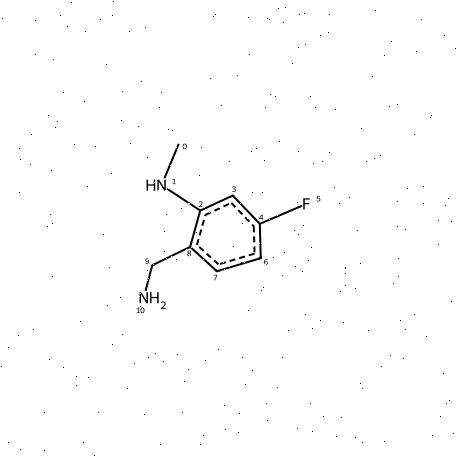 CNc1cc(F)ccc1CN